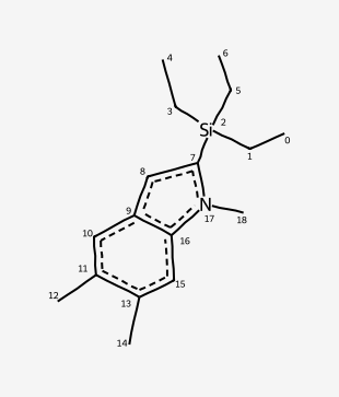 CC[Si](CC)(CC)c1cc2cc(C)c(C)cc2n1C